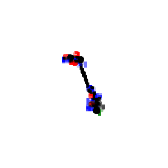 Cc1c(NC(=O)CN2CCN(CCCCCCCCCCCCNc3cccc4c3C(=O)N(C3CCC(=O)NC3=O)C4=O)CC2)c[nH]c1/C=C1\C(=O)Nc2ccc(F)cc21